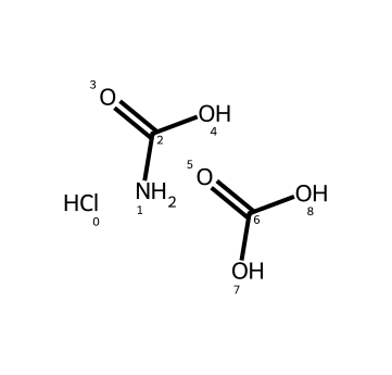 Cl.NC(=O)O.O=C(O)O